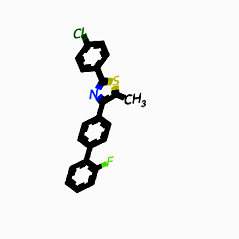 Cc1sc(-c2ccc(Cl)cc2)nc1-c1ccc(-c2ccccc2F)cc1